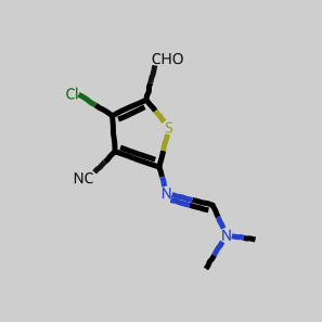 CN(C)/C=N/c1sc(C=O)c(Cl)c1C#N